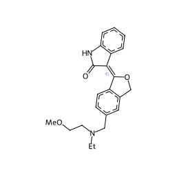 CCN(CCOC)Cc1ccc2c(c1)CO/C2=C1/C(=O)Nc2ccccc21